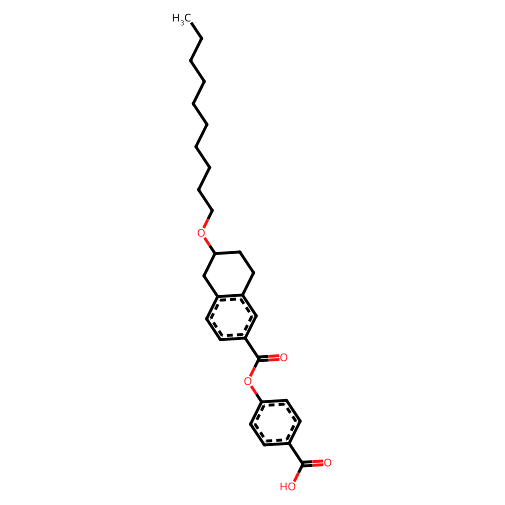 CCCCCCCCCCOC1CCc2cc(C(=O)Oc3ccc(C(=O)O)cc3)ccc2C1